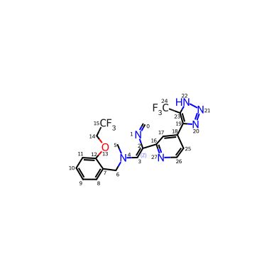 C=N/C(=C\N(C)Cc1ccccc1OCC(F)(F)F)c1cc(-c2nn[nH]c2C(F)(F)F)ccn1